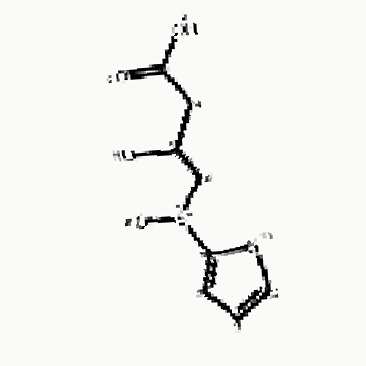 O=C(O)CC(O)C[S+]([O-])c1cccs1